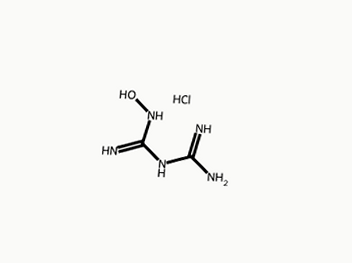 Cl.N=C(N)NC(=N)NO